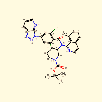 Cc1cccc2ccnc(N(C(=O)c3c(F)cc(-n4nnc5cccnc54)cc3F)[C@@H]3CCCN(C(=O)OC(C)(C)C)C3)c12